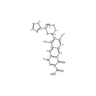 Cn1cc(C(=O)O)c(=O)c2cc3cc(F)c(N4CCNC(c5cccs5)C4)c(F)c3nc21